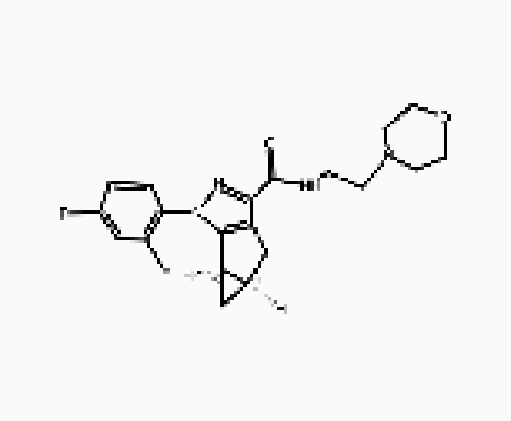 O=C(NCCN1CCOCC1)c1nn(-c2ccc(F)cc2F)c2c1C[C@H]1C[C@@H]21